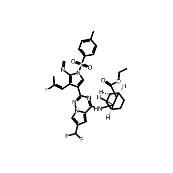 C=Nc1c(/C=C(\C)F)c(-c2nc(N[C@H]3[C@H]4CC[C@H](CC4)[C@@H]3C(=O)OCC)c3cc(C(F)F)cn3n2)cn1S(=O)(=O)c1ccc(C)cc1